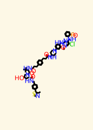 COc1cc(N2CCC(NC(=O)CCc3ccc(CCC(=O)N[C@H](C(=O)N4C[C@H](O)C[C@H]4C(=O)NCc4ccc(-c5scnc5C)cc4)C(C)(C)C)cc3)CC2)ccc1Nc1ncc(Cl)c(Nc2ccccc2P(C)(C)=O)n1